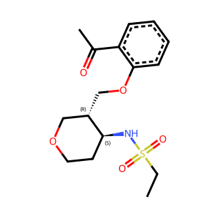 CCS(=O)(=O)N[C@H]1CCOC[C@@H]1COc1ccccc1C(C)=O